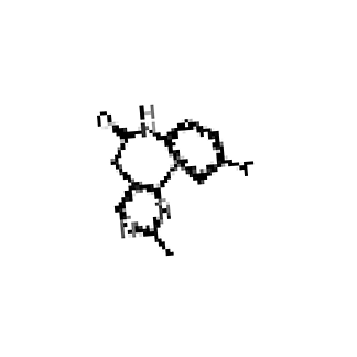 Cc1ncc2c(n1)-c1cc(F)ccc1NC(=O)C2